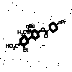 CCCC[C@@H](C)c1cc(OC(=O)[C@H]2CC[C@H](CCC)CC2)ccc1-c1ccc(C(=O)O)c(CC)c1